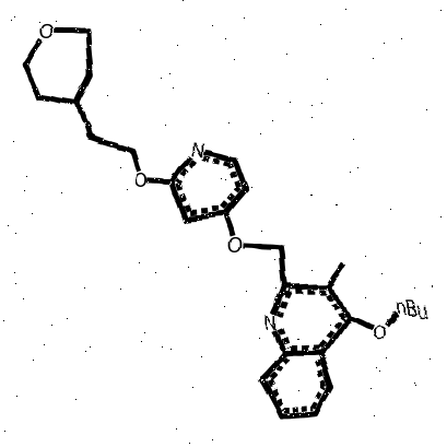 CCCCOc1c(C)c(COc2ccnc(OCCC3CCOCC3)c2)nc2ccccc12